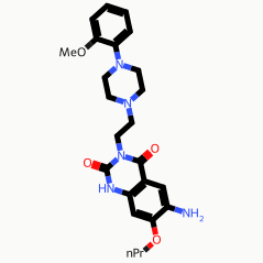 CCCOc1cc2[nH]c(=O)n(CCN3CCN(c4ccccc4OC)CC3)c(=O)c2cc1N